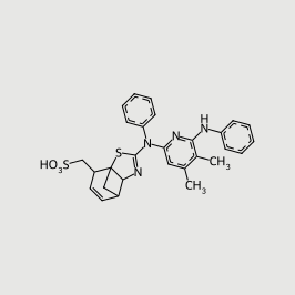 Cc1cc(N(C2=NC3C4C=CC(CS(=O)(=O)O)C3(C4)S2)c2ccccc2)nc(Nc2ccccc2)c1C